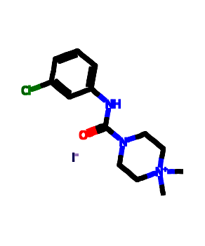 C[N+]1(C)CCN(C(=O)Nc2cccc(Cl)c2)CC1.[I-]